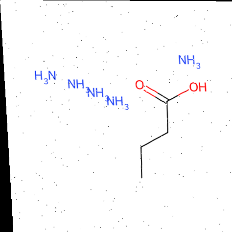 CCCC(=O)O.N.N.N.N.N